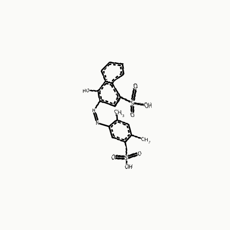 Cc1cc(C)c(S(=O)(=O)O)cc1/N=N\c1cc(S(=O)(=O)O)c2ccccc2c1O